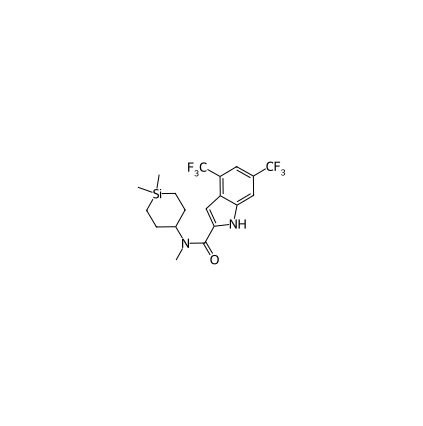 CN(C(=O)c1cc2c(C(F)(F)F)cc(C(F)(F)F)cc2[nH]1)C1CC[Si](C)(C)CC1